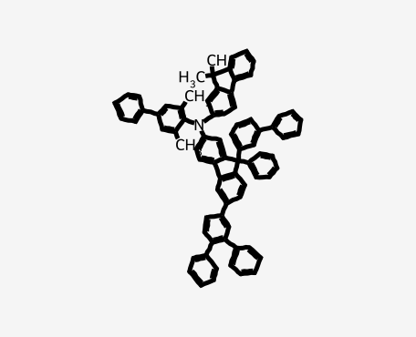 Cc1cc(-c2ccccc2)cc(C)c1N(c1ccc2c(c1)C(C)(C)c1ccccc1-2)c1ccc2c(c1)C(c1ccccc1)(c1cccc(-c3ccccc3)c1)c1ccc(-c3ccc(-c4ccccc4)c(-c4ccccc4)c3)cc1-2